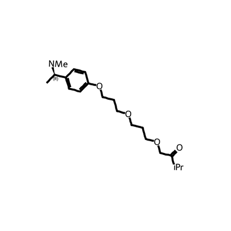 CN[C@H](C)c1ccc(OCCCOCCCOCC(=O)C(C)C)cc1